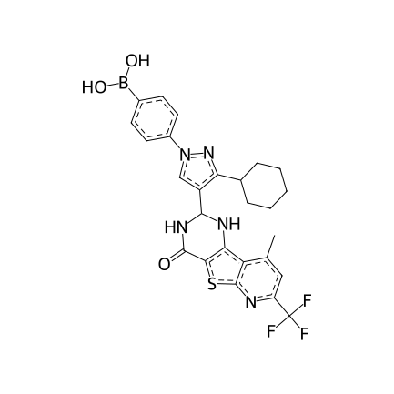 Cc1cc(C(F)(F)F)nc2sc3c(c12)NC(c1cn(-c2ccc(B(O)O)cc2)nc1C1CCCCC1)NC3=O